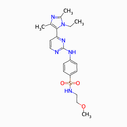 CCn1c(C)nc(C)c1-c1ccnc(Nc2ccc(S(=O)(=O)NCCOC)cc2)n1